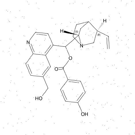 C=C[C@H]1CN2CCC1C[C@H]2C(OC(=O)c1ccc(O)cc1)c1ccnc2ccc(CO)cc12